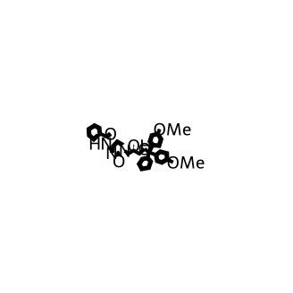 COc1ccc(C(OC[C@@H](O)Cn2ccc(NC(=O)c3ccccc3)nc2=O)(c2ccccc2)c2ccc(OC)cc2)cc1